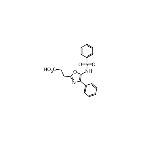 O=C(O)CCc1nc(-c2ccccc2)c(NS(=O)(=O)c2ccccc2)o1